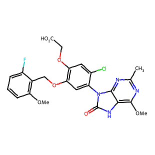 COc1cccc(F)c1COc1cc(-n2c(=O)[nH]c3c(OC)nc(C)nc32)c(Cl)cc1OCC(=O)O